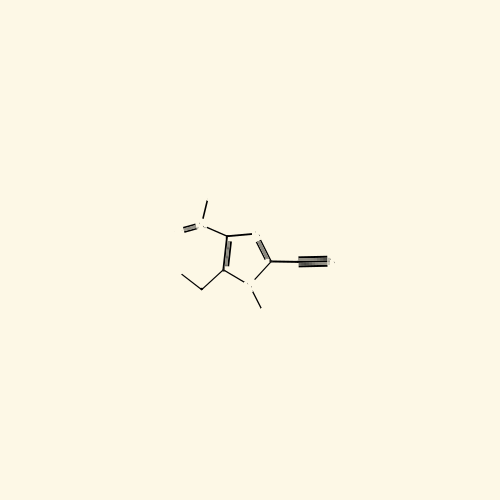 Cn1c(C#N)nc([N+](=O)[O-])c1CO